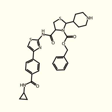 O=C(NC1CC1)c1ccc(-c2csc(NC(=O)C3CSC(C4CCNCC4)N3C(=O)OCc3ccccc3)n2)cc1